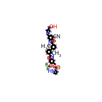 Cc1c(-c2nc3cc(COC(=O)[C@@H]4CCCN4)c(OC(F)F)cc3o2)cccc1-c1cccc(-c2nc3cc(CN4CC(CO)C4)cc(C#N)c3o2)c1C